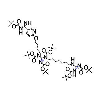 CC(C)(C)OC(=O)/N=C(/NCCCCCCCN(C(=O)OC(C)(C)C)/C(=N\C(=O)OC(C)(C)C)N(CCCCOc1ccc(C(=N)NC(=O)OC(C)(C)C)cn1)C(=O)OC(C)(C)C)NC(=O)OC(C)(C)C